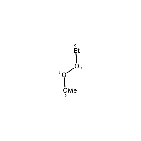 CCOOOC